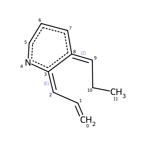 C=C/C=c1/nccc/c1=C/CC